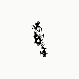 CC1(C(=O)NCc2cc3ccc(OCCc4ccon4)cc3[nH]2)CC1